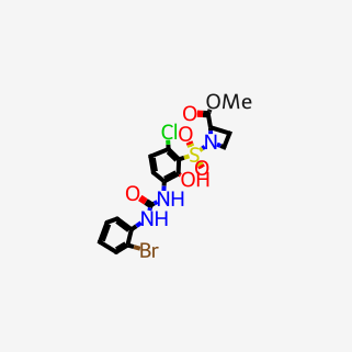 COC(=O)C1CCN1S(=O)(=O)c1c(Cl)ccc(NC(=O)Nc2ccccc2Br)c1O